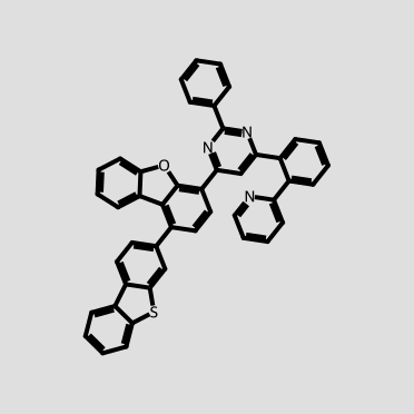 c1ccc(-c2nc(-c3ccccc3-c3ccccn3)cc(-c3ccc(-c4ccc5c(c4)sc4ccccc45)c4c3oc3ccccc34)n2)cc1